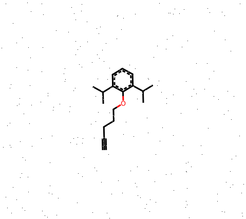 C#CCCCOc1c(C(C)C)cccc1C(C)C